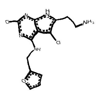 NCCc1[nH]c2nc(Cl)nc(NCc3ccco3)c2c1Cl